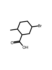 CC1CCC(Br)CC1C(=O)O